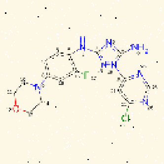 Nc1nc(Nc2ccc(N3CCOCC3)cc2F)nn1-c1cc(Cl)ncn1